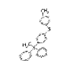 Cc1ccc(Sc2ccc(S(C)(c3ccccc3)c3ccccc3)cc2)cc1